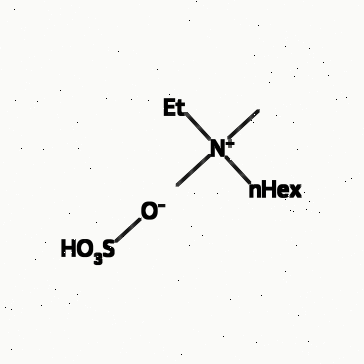 CCCCCC[N+](C)(C)CC.O=S(=O)([O-])O